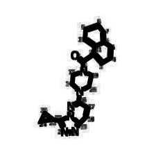 O=C(c1cccc2ccccc12)N1CCN(c2ccc3nnc(C4CC4)n3n2)CC1